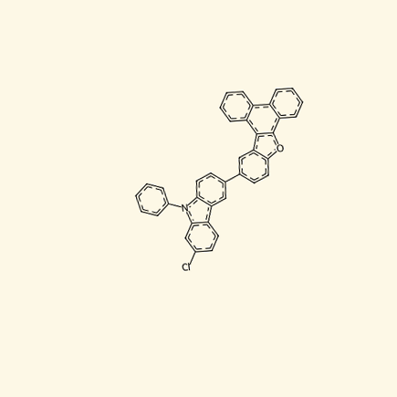 Clc1ccc2c3cc(-c4ccc5oc6c7ccccc7c7ccccc7c6c5c4)ccc3n(-c3ccccc3)c2c1